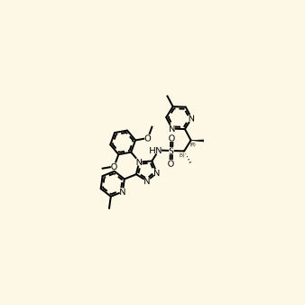 COc1cccc(OC)c1-n1c(NS(=O)(=O)[C@@H](C)[C@H](C)c2ncc(C)cn2)nnc1-c1cccc(C)n1